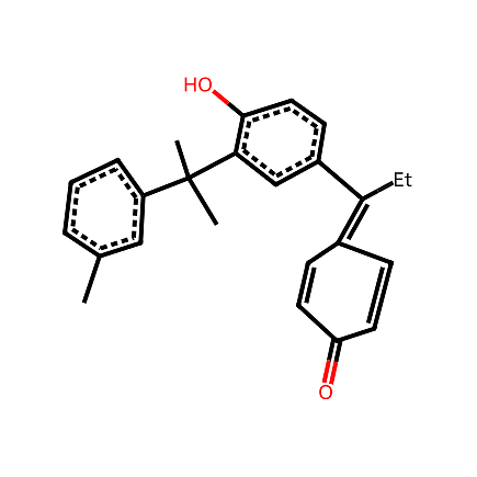 CCC(=C1C=CC(=O)C=C1)c1ccc(O)c(C(C)(C)c2cccc(C)c2)c1